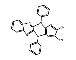 N#Cc1nc2c(nc1C#N)N(c1ccccc1)c1nc3ccccc3nc1N2c1ccccc1